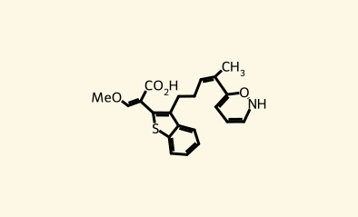 COC=C(C(=O)O)c1sc2ccccc2c1CCC=C(C)C1=CC=CNO1